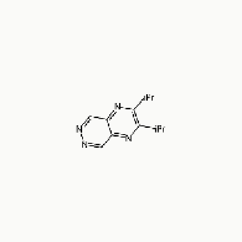 CC(C)c1nc2cnncc2nc1C(C)C